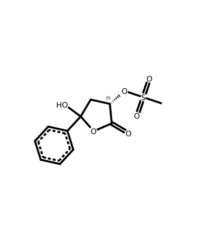 CS(=O)(=O)O[C@H]1CC(O)(c2ccccc2)OC1=O